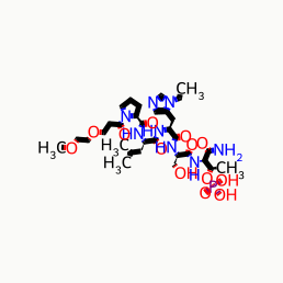 CCn1cncc1C[C@H](NC(=O)[C@H](CC(C)C)NC(=O)[C@@H]1CCCN1C(=O)CCOCCOC)C(=O)N[C@@H](CO)C(=O)N[C@H](C(N)=O)[C@@H](C)OP(=O)(O)O